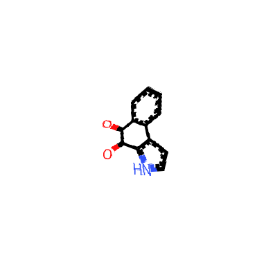 O=C1C(=O)c2[nH]ccc2-c2ccccc21